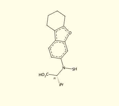 CC(C)[C@H](C(=O)O)N(S)c1ccc2c3c(oc2c1)CCCC3